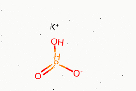 O=[PH]([O-])O.[K+]